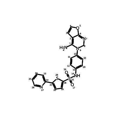 NC1=c2ccoc2=NCN1c1ccc(NS(=O)(=O)c2ccc(-c3ccccn3)s2)cc1